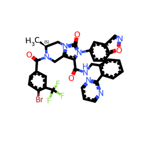 C[C@H]1Cn2c(c(C(=O)NCc3ccccc3-c3ncccn3)n(-c3ccc4oncc4c3)c2=O)CN1C(=O)c1ccc(Br)c(C(F)(F)F)c1